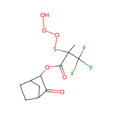 CC(SOOO)(C(=O)OC1C(=O)C2CCC1C2)C(F)(F)F